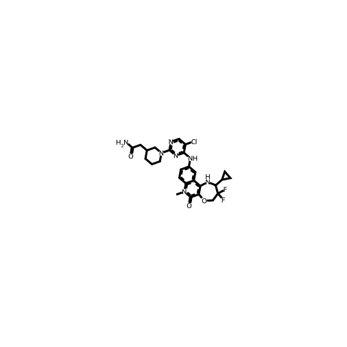 Cn1c(=O)c2c(c3cc(Nc4nc(N5CCCC(CC(N)=O)C5)ncc4Cl)ccc31)NC(C1CC1)C(F)(F)CO2